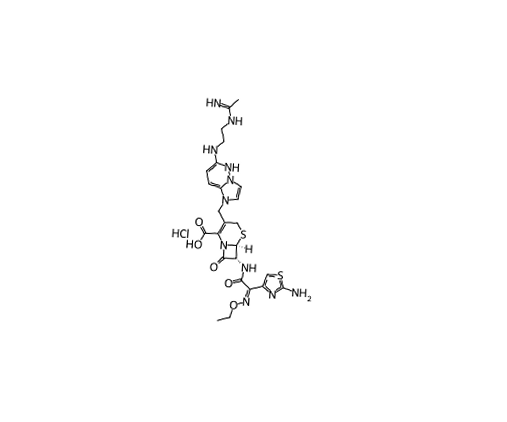 CCO/N=C(\C(=O)N[C@@H]1C(=O)N2C(C(=O)O)=C(CN3C=CN4NC(NCCNC(C)=N)=CC=C34)CS[C@@H]12)c1csc(N)n1.Cl